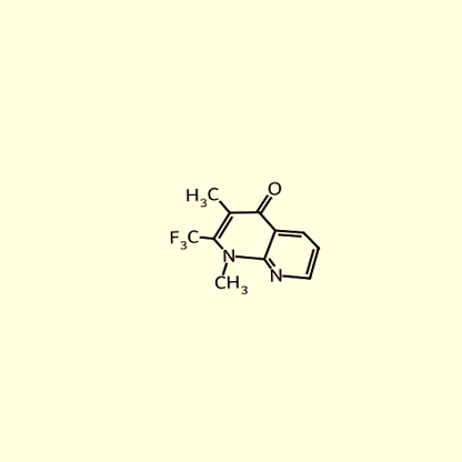 Cc1c(C(F)(F)F)n(C)c2ncccc2c1=O